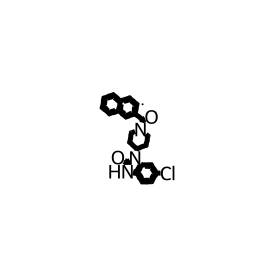 O=C(c1[c]cc2ccccc2c1)N1CCC(n2c(=O)[nH]c3ccc(Cl)cc32)CC1